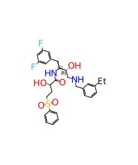 CCc1cccc(CNC[C@@H](O)[C@H](Cc2cc(F)cc(F)c2)NC(=O)C(O)CCS(=O)(=O)c2ccccc2)c1